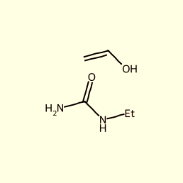 C=CO.CCNC(N)=O